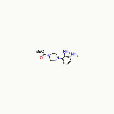 CC(C)COC(=O)N1CCN(c2cccc(N)c2N)CC1